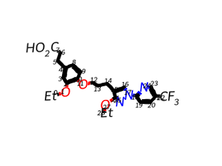 CCOc1cc(CCC(=O)O)ccc1OCCCc1cn(-c2ccc(C(F)(F)F)cn2)nc1OCC